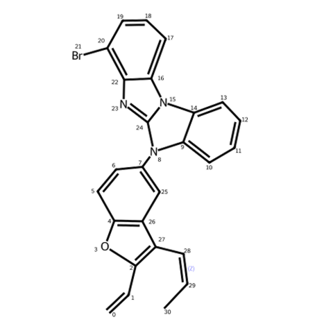 C=Cc1oc2ccc(-n3c4ccccc4n4c5cccc(Br)c5nc34)cc2c1/C=C\C